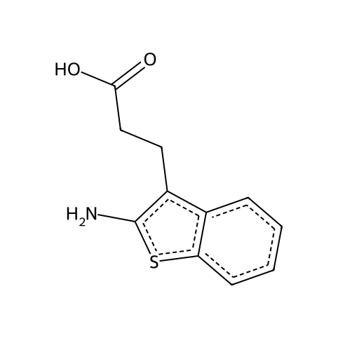 Nc1sc2ccccc2c1CCC(=O)O